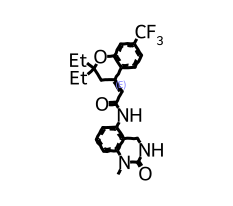 CCC1(CC)C/C(=C\C(=O)Nc2cccc3c2CNC(=O)N3C)c2ccc(C(F)(F)F)cc2O1